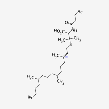 CC(=O)CCC(=O)NC(C(=O)O)C(C)(C)SC/C=C(\C)CCCC(C)CCCC(C)CCCC(C)C